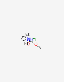 CC=CCOCC(Cl)C(=O)Nc1c(CC)cccc1CC